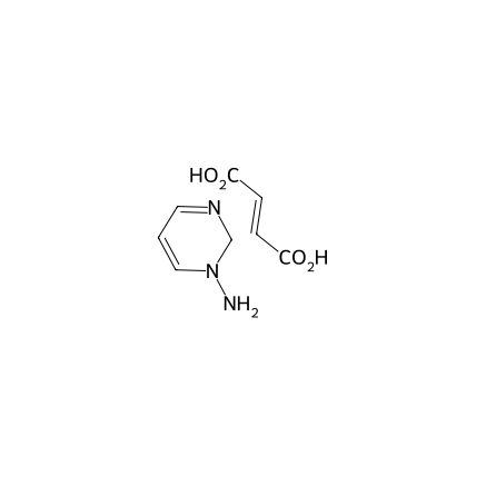 NN1C=CC=NC1.O=C(O)/C=C/C(=O)O